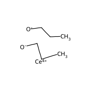 CCC[O-].CCC[O-].[Ce+4]